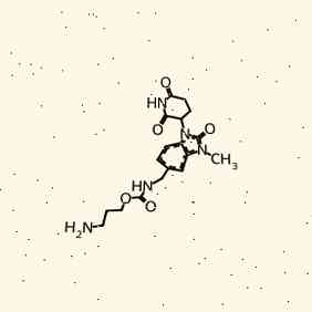 Cn1c(=O)n(C2CCC(=O)NC2=O)c2ccc(CNC(=O)OCCCN)cc21